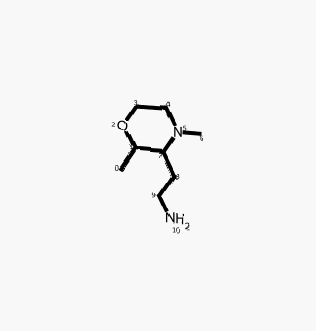 CC1OCCN(C)C1CCN